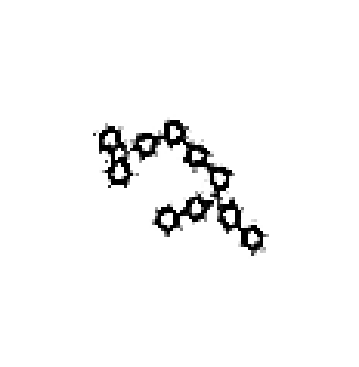 C1=CC(c2ccc(N(c3ccc(-c4ccccc4)cc3)c3cccc(-c4ccc(-c5cccc(-c6ccc(-n7c8ccccc8c8ccccc87)cc6)c5)cc4)c3)cc2)=CCC1